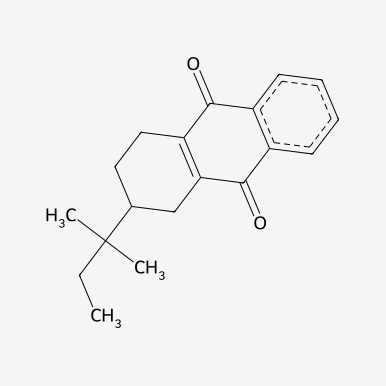 CCC(C)(C)C1CCC2=C(C1)C(=O)c1ccccc1C2=O